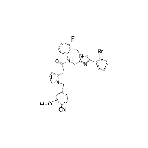 COc1cc(Cn2cncc2CC(=O)N2Cc3nc(-c4ccccc4Br)cn3Cc3c(F)cccc32)ccc1C#N